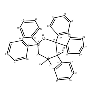 CC1(C)C[Si](c2ccccc2)(c2ccccc2)OC(c2ccccc2)(c2ccccc2)C1(C)c1ccccc1